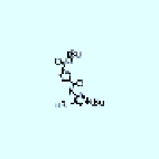 CCCCc1cn(C(C)(C)C)s/c1=N\C(=O)C1CCN(C(=O)OC(C)(C)C)C1